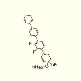 CCCCCCOC1(CCC)C=CC(c2ccc(-c3ccc(-c4ccccc4)cc3)c(F)c2F)=CC1